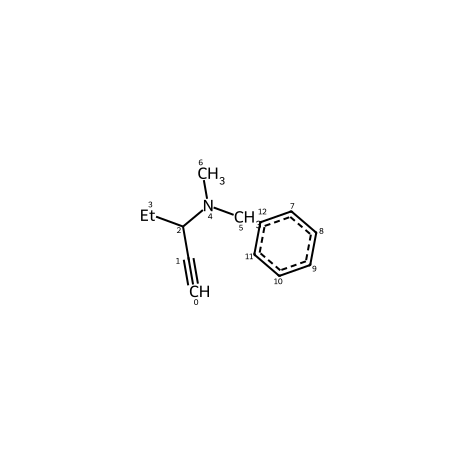 C#CC(CC)N(C)C.c1ccccc1